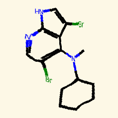 CN(c1c(Br)cnc2[nH]cc(Br)c12)C1CCCCC1